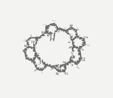 c1cc2ccc3nc2c2nc(ccc12)c1ccc([nH]1)c1ccc2ccc4ccc(nc4c2n1)c1ccc3[nH]1